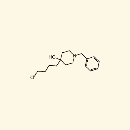 OC1(CCCCCl)CCN(Cc2ccccc2)CC1